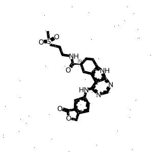 CS(=O)(=O)CCCNC(=O)[C@H]1CCc2[nH]c3ncnc(Nc4ccc5c(c4)C(=O)OC5)c3c2C1